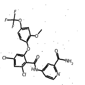 COc1cc(OC(F)(F)F)ccc1Oc1cc(Cl)cc(Cl)c1C(=O)Nc1ccnc(C(N)=O)c1